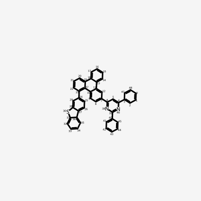 c1ccc(-c2cc(-c3ccc4c(c3)c3ccccc3c3cccc(-c5ccc6c(c5)sc5ccccc56)c34)nc(-c3ccccc3)n2)cc1